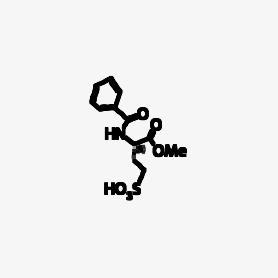 COC(=O)[C@H](CCS(=O)(=O)O)NC(=O)c1ccccc1